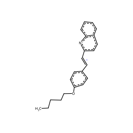 CCCCCOc1ccc(/C=C/c2ccc3ccccc3n2)cc1